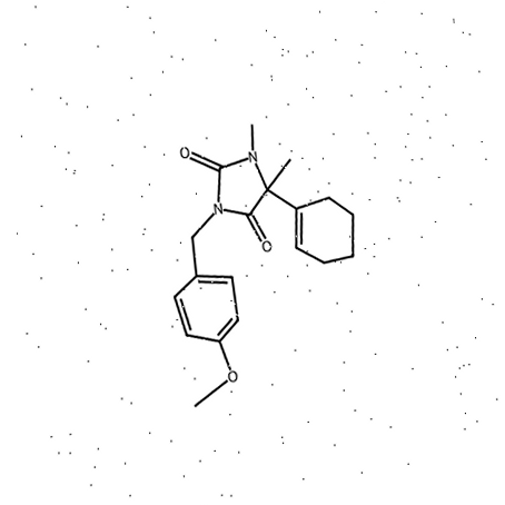 COc1ccc(CN2C(=O)N(C)C(C)(C3=CCCCC3)C2=O)cc1